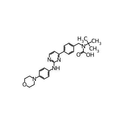 CC(C)(C)N(Cc1ccc(-c2ccnc(Nc3ccc(N4CCOCC4)cc3)n2)cc1)C(=O)O